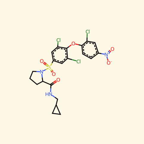 O=C(NCC1CC1)C1CCCN1S(=O)(=O)c1cc(Cl)c(Oc2ccc([N+](=O)[O-])cc2Cl)c(Cl)c1